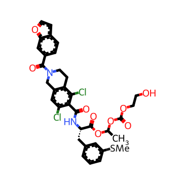 CSc1cccc(C[C@H](NC(=O)c2c(Cl)cc3c(c2Cl)CCN(C(=O)c2ccc4ccoc4c2)C3)C(=O)OC(C)OC(=O)OCCO)c1